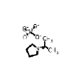 CC(C)=[N+]1CCCC1.[O-][Cl+3]([O-])([O-])[O-]